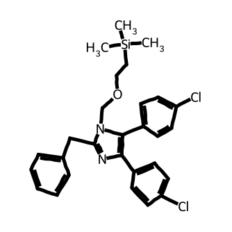 C[Si](C)(C)CCOCn1c(Cc2ccccc2)nc(-c2ccc(Cl)cc2)c1-c1ccc(Cl)cc1